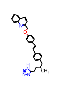 CC(CCc1nnn[nH]1)Cc1ccc(/C=C/c2ccc(OCc3ccc4ccccc4n3)cc2)cc1